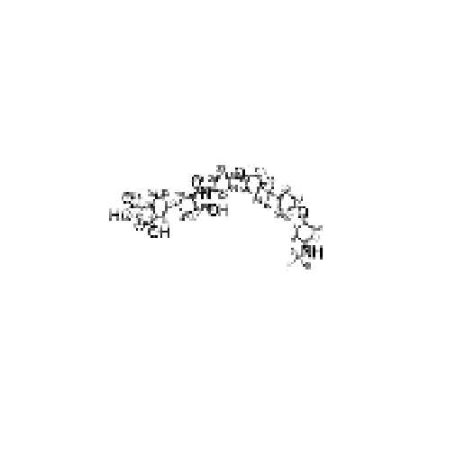 CC(C)(C)Nc1ccc(Oc2ccc(C(C)(C)c3ccc(Oc4ccc(N5C(=O)c6cc(-c7ccc(C(C)(C)C(=O)O)c(C(=O)O)c7)ccc6C5O)cc4)cc3)cc2)cc1